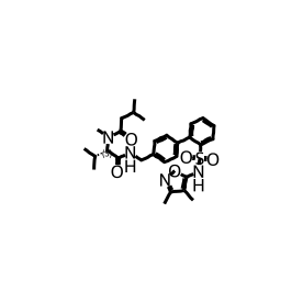 Cc1noc(NS(=O)(=O)c2ccccc2-c2ccc(CNC(=O)[C@H](C(C)C)N(C)C(=O)CC(C)C)cc2)c1C